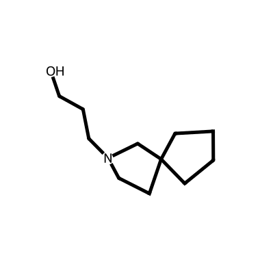 OCCCN1CCC2(CCCC2)C1